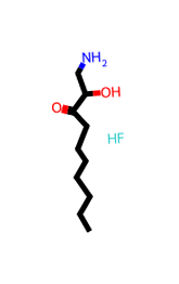 CCCCCCCC(=O)C(O)CN.F